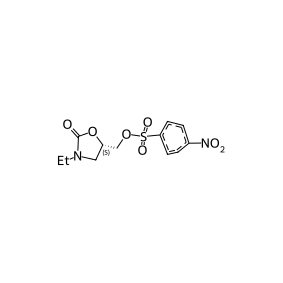 CCN1C[C@@H](COS(=O)(=O)c2ccc([N+](=O)[O-])cc2)OC1=O